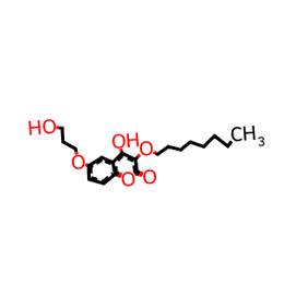 CCCCCCCCOc1c(O)c2cc(OCCCO)ccc2oc1=O